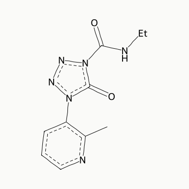 CCNC(=O)n1nnn(-c2cccnc2C)c1=O